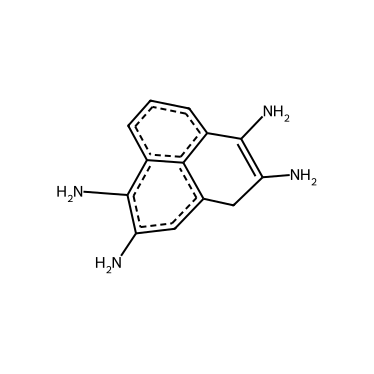 NC1=C(N)c2cccc3c(N)c(N)cc(c23)C1